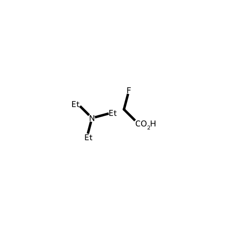 CCN(CC)CC.O=C(O)CF